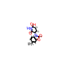 CC(C)c1ccc2c(c1)oc(=O)n2[C@H]1CCC(O)NC1=O